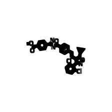 COC(=O)c1ccc(-c2noc(C34CCC(C=Cc5c(-c6c(Cl)cccc6Cl)noc5C5CC5)(CC3)CC4)n2)cc1